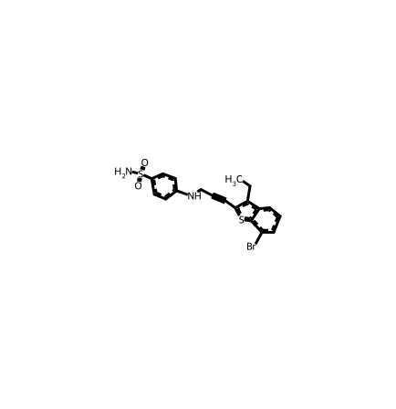 CCc1c(C#CCNc2ccc(S(N)(=O)=O)cc2)sc2c(Br)cccc12